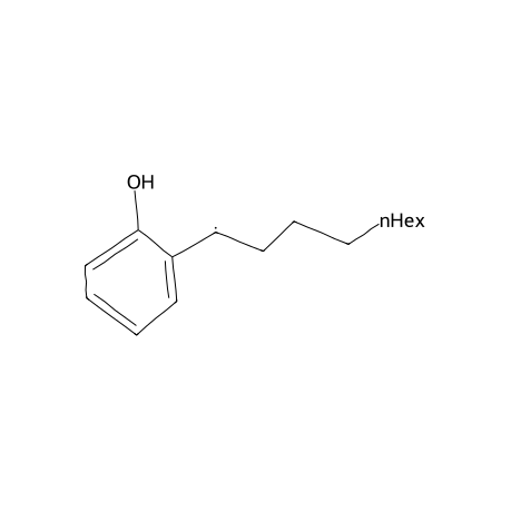 CCCCCCCCC[CH]c1ccccc1O